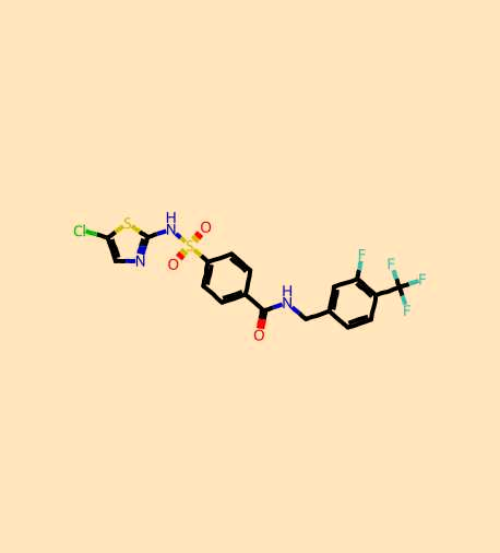 O=C(NCc1ccc(C(F)(F)F)c(F)c1)c1ccc(S(=O)(=O)Nc2ncc(Cl)s2)cc1